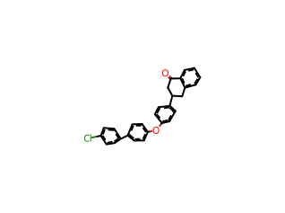 O=C1CC(c2ccc(Oc3ccc(-c4ccc(Cl)cc4)cc3)cc2)Cc2ccccc21